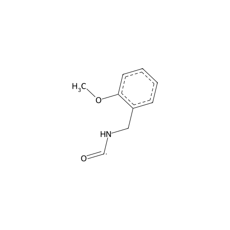 COc1ccccc1CN[C]=O